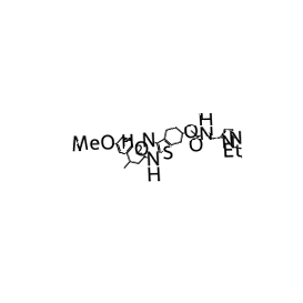 CCn1nccc1CNC(=O)OC1CCc2c(sc(NC(=O)CC(C)c3cccc(OC)c3)c2N)C1